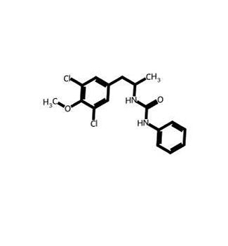 COc1c(Cl)cc(CC(C)NC(=O)Nc2ccccc2)cc1Cl